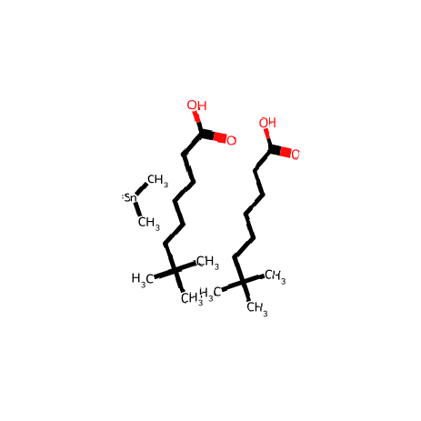 CC(C)(C)CCCCCC(=O)O.CC(C)(C)CCCCCC(=O)O.[CH3][Sn][CH3]